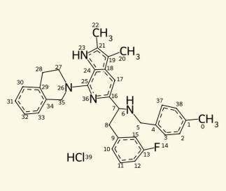 Cc1ccc(CNC(Cc2cccc(F)c2)c2cc3c(C)c(C)[nH]c3c(N3CCc4ccccc4C3)n2)cc1.Cl